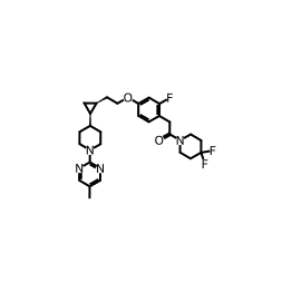 Cc1cnc(N2CCC([C@H]3C[C@H]3CCOc3ccc(CC(=O)N4CCC(F)(F)CC4)c(F)c3)CC2)nc1